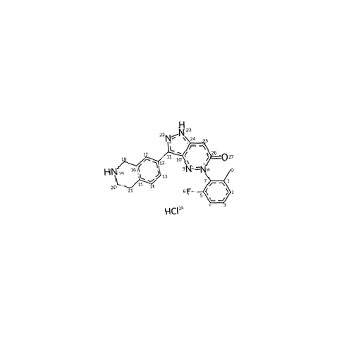 Cc1cccc(F)c1-n1nc2c(-c3ccc4c(c3)CNCC4)n[nH]c2cc1=O.Cl